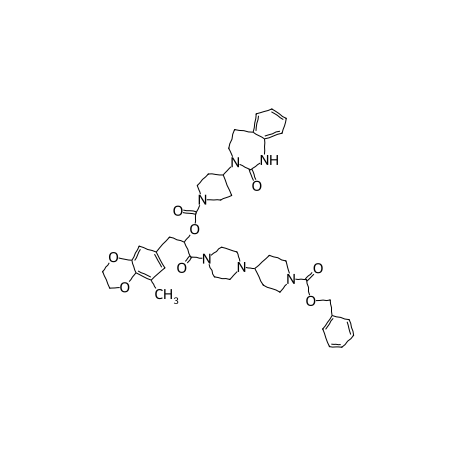 Cc1cc(CC(OC(=O)N2CCC(N3CCc4ccccc4NC3=O)CC2)C(=O)N2CCN(C3CCN(C(=O)OCc4ccccc4)CC3)CC2)cc2c1OCCO2